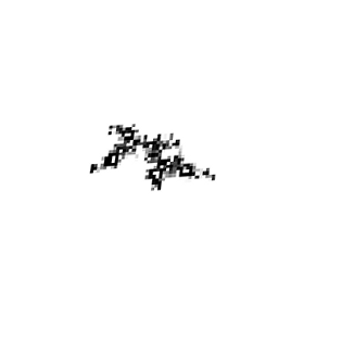 Cc1ccc(S(=O)(=O)n2cc(OCC(CCOc3cn(S(=O)(=O)c4ccc(Br)cc4)c4cc(Cl)ccc34)(N(C)C)N(C)C)c3ccc(Cl)cc32)c(Br)c1